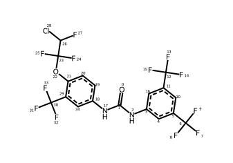 O=C(Nc1cc(C(F)(F)F)cc(C(F)(F)F)c1)Nc1ccc(OC(F)(F)C(F)Cl)c(C(F)(F)F)c1